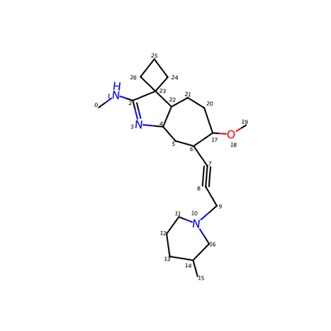 CNC1=NC2CC(C#CCN3CCCC(C)C3)C(OC)CCC2C12CCC2